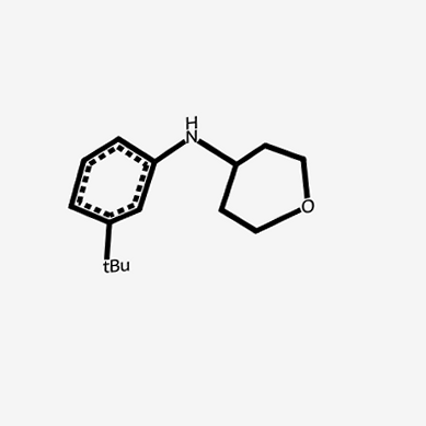 CC(C)(C)c1cccc(NC2CCOCC2)c1